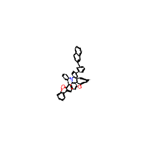 c1cc(-c2ccc(N(c3ccccc3-c3cccc4c3oc3ccccc34)c3cccc4oc5ccccc5c34)cc2)cc(-c2ccc3ccccc3c2)c1